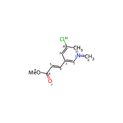 C=N/C=C(/C=C/C(=O)OC)\C=C(/C)Cl